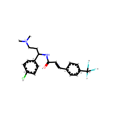 CN(C)CCC(NC(=O)/C=C/c1ccc(C(F)(F)F)cc1)c1ccc(Cl)cc1